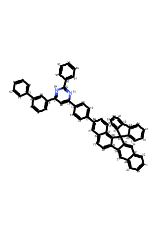 c1ccc(-c2cccc(-c3cc(-c4ccc(-c5ccc6c7c(ccc6c5)-c5cc6ccccc6cc5C75c6ccccc6-c6ccccc65)cc4)nc(-c4ccccc4)n3)c2)cc1